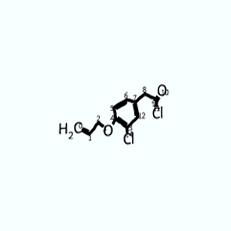 C=CCOc1ccc(CC(=O)Cl)cc1Cl